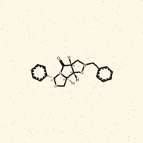 O=C1[C@@H]2CN(Cc3ccccc3)O[C@@H]2[C@H]2CO[C@H](c3ccccc3)N12